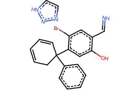 N=Cc1cc(Br)c(C2(c3ccccc3)C=CC=CC2)cc1O.c1c[nH]nn1